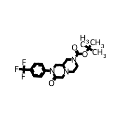 CC(C)(C)OC(=O)N1CCN2CC(=O)N(c3ccc(C(F)(F)F)cc3)CC2C1